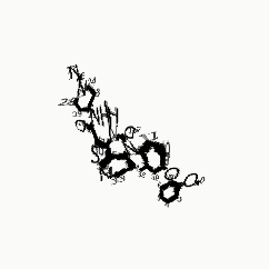 COc1ccccc1Oc1ccc(N2C(=O)Nc3c(C(=O)NC4CCN(C#N)CC4)sc4nccc2c34)c(C)c1